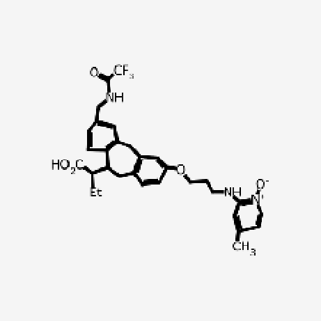 CCC(C(=O)O)C1Cc2ccc(OCCCNc3cc(C)cc[n+]3[O-])cc2Cc2cc(CNC(=O)C(F)(F)F)ccc21